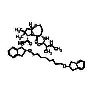 CN[C@@H](C)C(=O)N[C@H]1CCS[C@H]2CC(C)(C)[C@@H](C(=O)N[C@H]3c4ccccc4C[C@H]3OCCCCCCCCOC3Cc4ccccc4C3)N2C1=O